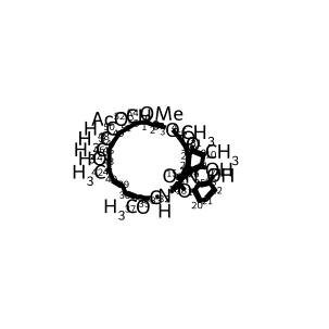 CO[C@H]1/C=C/O[C@@]2(C)Oc3c(C)c(O)c4c(=O)c(c5oc6cccc(O)c6nc-5c4c3C2=O)NCC(=O)/C(C)=C\C=C\[C@H](C)[C@H](O)[C@@H](C)[C@@H](C)[C@@H](C)[C@H](OC(C)=O)[C@@H]1C